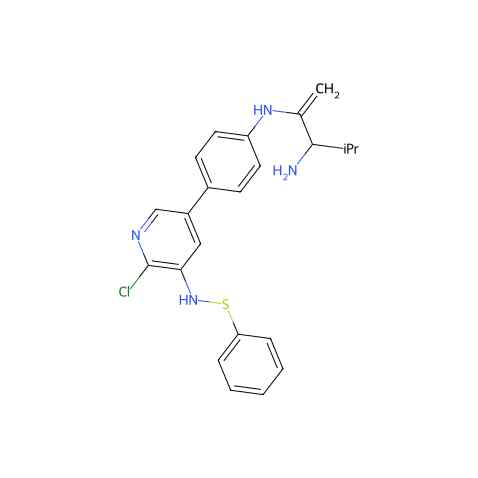 C=C(Nc1ccc(-c2cnc(Cl)c(NSc3ccccc3)c2)cc1)C(N)C(C)C